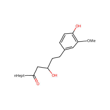 CCCCCCCC(=O)CC(O)CCc1ccc(O)c(OC)c1